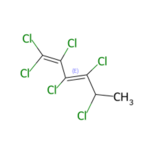 CC(Cl)/C(Cl)=C(\Cl)C(Cl)=C(Cl)Cl